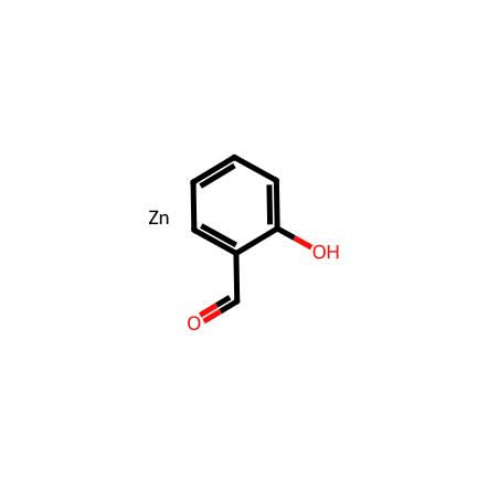 O=Cc1ccccc1O.[Zn]